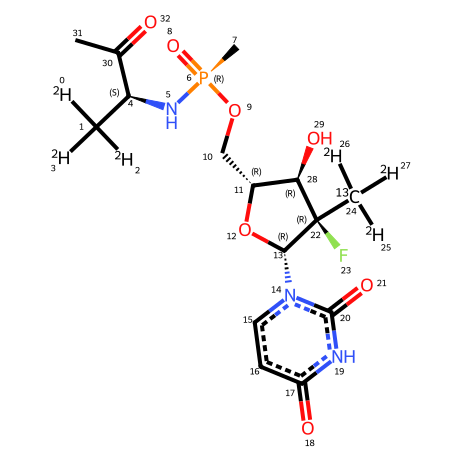 [2H]C([2H])([2H])[C@H](N[P@](C)(=O)OC[C@H]1O[C@@H](n2ccc(=O)[nH]c2=O)[C@@](F)([13C]([2H])([2H])[2H])[C@@H]1O)C(C)=O